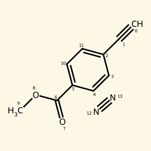 C#Cc1ccc(C(=O)OC)cc1.N#N